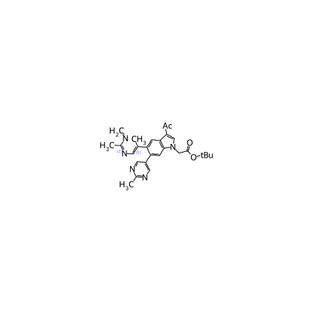 C=N/C(C)=N\C=C(/C)c1cc2c(C(C)=O)cn(CC(=O)OC(C)(C)C)c2cc1-c1cnc(C)nc1